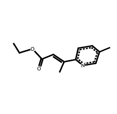 CCOC(=O)/C=C(\C)c1ccc(C)cn1